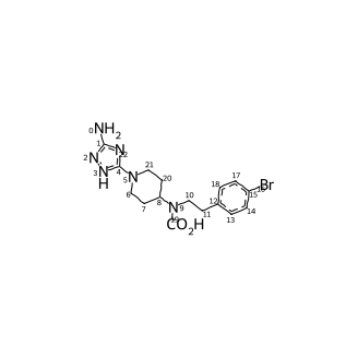 Nc1n[nH]c(N2CCC(N(CCc3ccc(Br)cc3)C(=O)O)CC2)n1